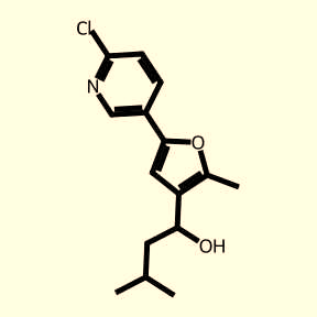 Cc1oc(-c2ccc(Cl)nc2)cc1C(O)CC(C)C